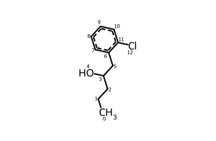 CCCC(O)Cc1ccccc1Cl